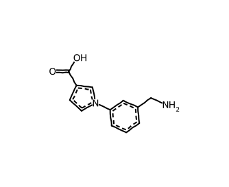 NCc1cccc(-n2ccc(C(=O)O)c2)c1